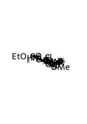 CCOC(=O)CNC(=O)OCCc1cc(Cl)c(Oc2ccc(OC)c(C(=O)Nc3ccccc3)c2)c(Cl)c1